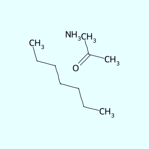 CC(C)=O.CCCCCCC.N